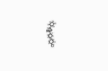 Clc1ccc(-c2ccc(C3=NC[C@H](c4ccccc4)O3)cc2)cc1